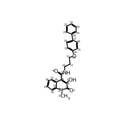 Cn1c(=O)c(O)c(C(=O)NCCCOc2ccc(-c3ccccc3)cc2)c2ccccc21